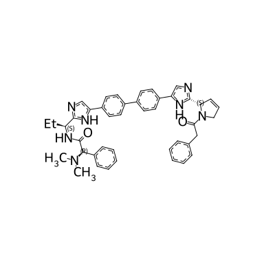 CC[C@H](NC(=O)[C@@H](c1ccccc1)N(C)C)c1ncc(-c2ccc(-c3ccc(-c4cnc([C@@H]5C=CCN5C(=O)Cc5ccccc5)[nH]4)cc3)cc2)[nH]1